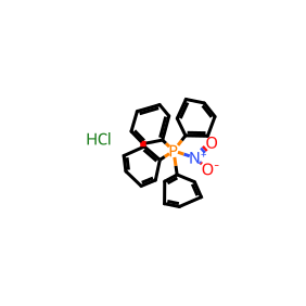 Cl.O=[N+]([O-])P(c1ccccc1)(c1ccccc1)(c1ccccc1)c1ccccc1